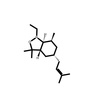 CCN1OC(C)(C)[C@H]2C[C@@H](CC=C(C)C)C[C@H](C)[C@@H]21